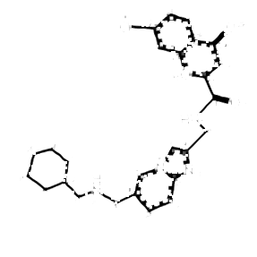 O=C(NCc1cn2cc(CNCC3CCCCC3)ccc2n1)c1cc(=O)c2ccc(Cl)cc2o1